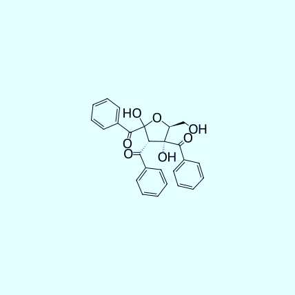 O=C(c1ccccc1)[C@@H]1C(O)(C(=O)c2ccccc2)O[C@@H](CO)[C@@]1(O)C(=O)c1ccccc1